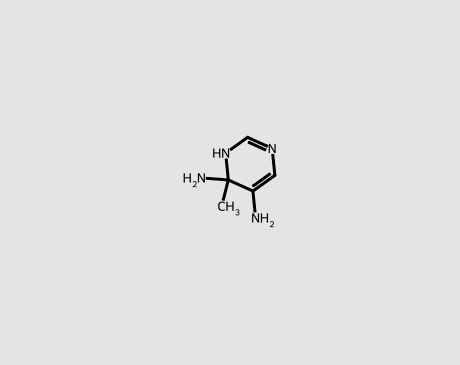 CC1(N)NC=NC=C1N